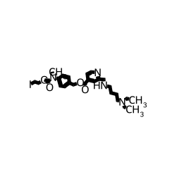 CCN(CC)CCCCNCc1cc(C(=O)OCc2ccc(N(C)C(=O)OCCI)cc2)ccn1